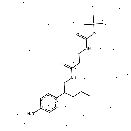 CCCC(CNC(=O)CCNC(=O)OC(C)(C)C)c1ccc(N)cc1